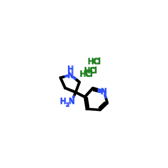 Cl.Cl.Cl.NC1(c2cccnc2)CCNC1